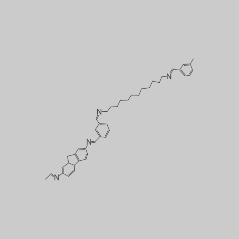 CC=NC1=CC2Cc3cc(N=Cc4cccc(/C=N\CCCCCCCCCCCCN=Cc5cccc(C)c5)c4)ccc3C2C=C1